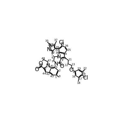 Cc1cc(N2C[C@@H](C)n3c(c(CCCOc4cc(C)c(Cl)c(C)c4)c4ccc(Cl)c(-c5c(C)nn(C)c5C)c43)C2=O)c2c(c1)cc1n2CCOC1=O